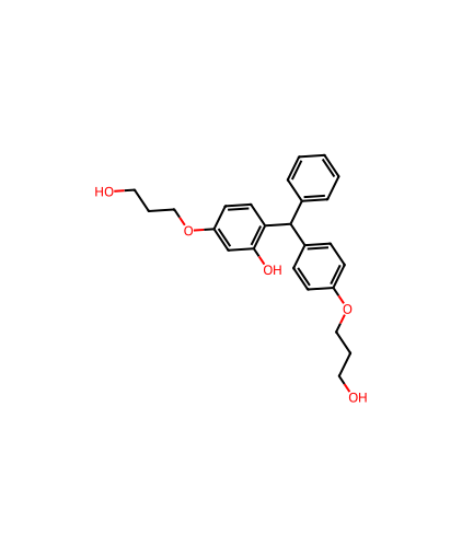 OCCCOc1ccc(C(c2ccccc2)c2ccc(OCCCO)cc2O)cc1